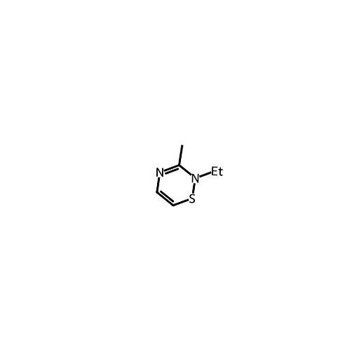 CCN1SC=CN=C1C